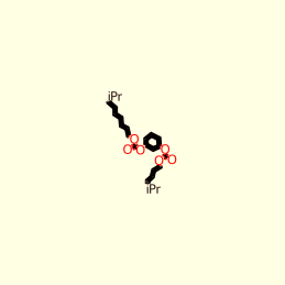 CC(C)CCCCCCCOC(=O)OC1CCCC(OC(=O)OCCCCC(C)C)C1